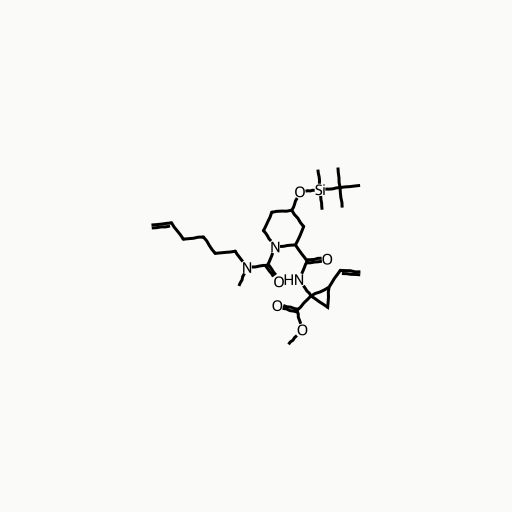 C=CCCCCN(C)C(=O)N1CCC(O[Si](C)(C)C(C)(C)C)CC1C(=O)NC1(C(=O)OC)CC1C=C